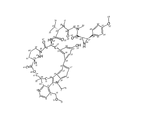 CCn1c(-c2cnccc2COC)c2c3cc(ccc31)-c1cc(O)cc(c1)C[C@H](NC(=O)[C@H](C(C)C)N(C)C(=O)CN(C)C(=O)[C@@H]1N[C@@H]1c1ccc(OC)cc1)C(=O)N1CCC[C@H](N1)C(=O)OCC(C)(C)C2